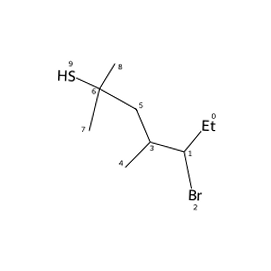 CCC(Br)C(C)CC(C)(C)S